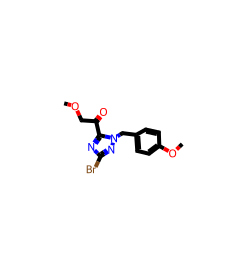 COCC(=O)c1nc(Br)nn1Cc1ccc(OC)cc1